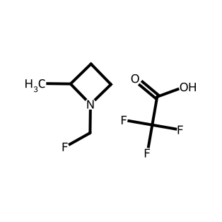 CC1CCN1CF.O=C(O)C(F)(F)F